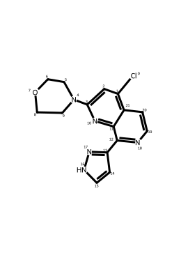 Clc1cc(N2CCOCC2)nc2c(-c3cc[nH]n3)nccc12